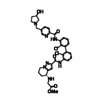 COC(=O)CN[C@@H]1CCCn2nc(C(=O)Nc3cccc(-c4cccc(NC(=O)c5ccc(CN6CC[C@@H](O)C6)cn5)c4Cl)c3Cl)cc21